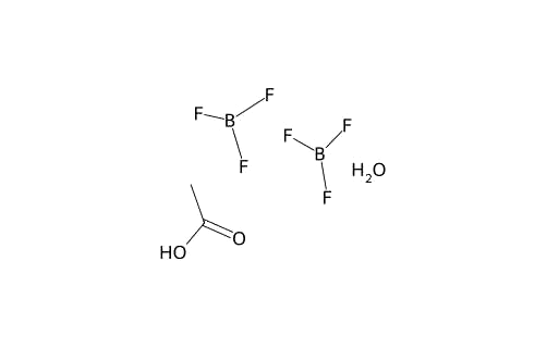 CC(=O)O.FB(F)F.FB(F)F.O